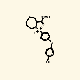 Cc1ccc(Oc2ccc(S(=O)(=O)N3CCCCCC3C(=O)NO)cc2)cc1